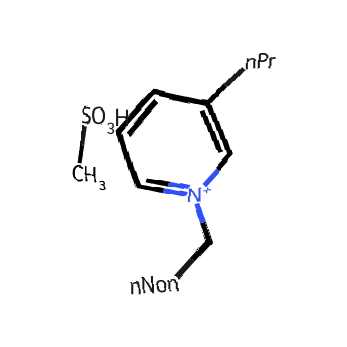 CCCCCCCCCC[n+]1cccc(CCC)c1.CS(=O)(=O)O